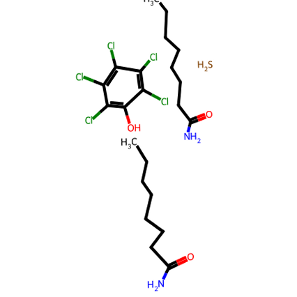 CCCCCCCC(N)=O.CCCCCCCC(N)=O.Oc1c(Cl)c(Cl)c(Cl)c(Cl)c1Cl.S